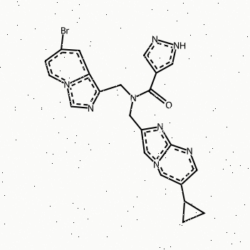 O=C(c1cn[nH]c1)N(Cc1cn2cc(C3CC3)cnc2n1)Cc1ncn2ccc(Br)cc12